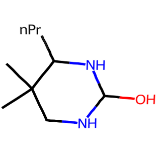 CCCC1NC(O)NCC1(C)C